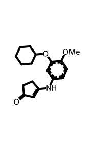 COc1ccc(NC2=CC(=O)CC2)cc1OC1CCCCC1